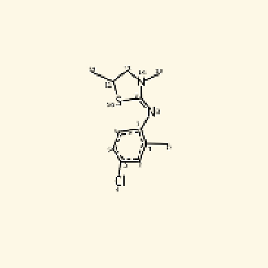 Cc1cc(Cl)ccc1N=C1SC(C)CN1C